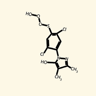 Cc1nn(-c2cc(Cl)c(SOOO)cc2Cl)c(O)c1C